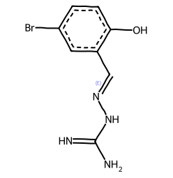 N=C(N)N/N=C/c1cc(Br)ccc1O